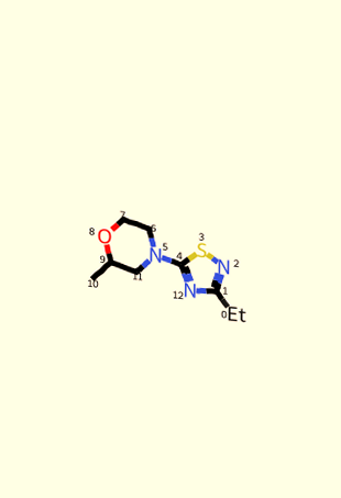 CCc1nsc(N2CCOC(C)C2)n1